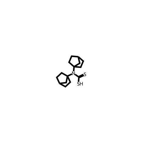 S=C(S)N(C12CCC(CC1)C2)C12CCC(CC1)C2